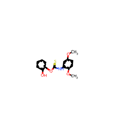 COc1ccc(OC)c(NC(=S)Oc2ccccc2O)c1